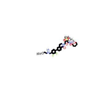 COCCNCc1ccc(-c2ccc3c(=O)n(CC[C@](C)(C(=O)NOC4CCCCO4)S(C)(=O)=O)ccc3c2)c(F)c1F